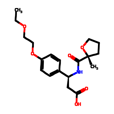 CCOCCOc1ccc([C@H](CC(=O)O)NC(=O)[C@@]2(C)CCCO2)cc1